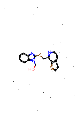 OCn1c(SCc2nccc3ccsc23)nc2ccccc21